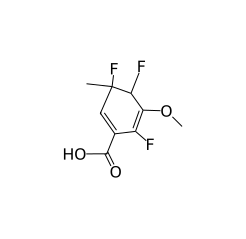 COC1=C(F)C(C(=O)O)=CC(C)(F)C1F